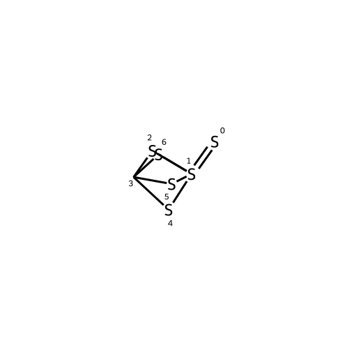 S=S123SC(S1)(S2)S3